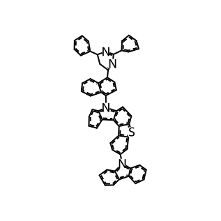 c1ccc(C2=NC(c3ccccc3)CC(c3ccc(-n4c5ccccc5c5c6c(ccc54)sc4cc(-n5c7ccccc7c7ccccc75)ccc46)c4ccccc34)=N2)cc1